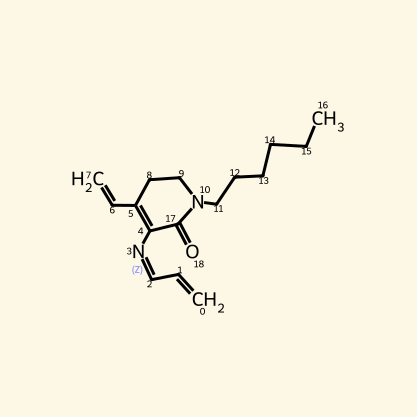 C=C/C=N\C1=C(C=C)CCN(CCCCCC)C1=O